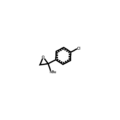 CCCCC1(c2ccc(Cl)cc2)CO1